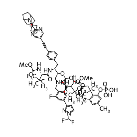 COC(=O)N[C@H](C(=O)N[C@@H](Cc1ccc(C#Cc2cnc(N3CC4CCC(C3)N4C3COC3)nc2)cc1)[C@H](CN(Cc1c(F)cc(-c2ccn(C(F)F)n2)cc1F)NC(=O)[C@@H](NC(=O)OC)C(C)(C)C(F)(F)F)OC(=O)OCOC(=O)CC(C)(C)c1c(C)cc(C)cc1OP(=O)(O)O)C(C)(C)C(F)(F)F